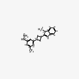 Cn1c(C2CN(c3cc(NN)nc(C(F)(F)F)n3)C2)nc2ccccc21